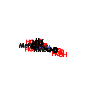 CN[C@@H]1[C@H](O)[C@H](NC)[C@H]2O[C@]3(O)[C@H](O[C@@H]2[C@H]1O)O[C@H](C)C[C@H]3NC(=O)Cc1ccc(-c2ccc(OP(=O)(O)O)cc2)cn1